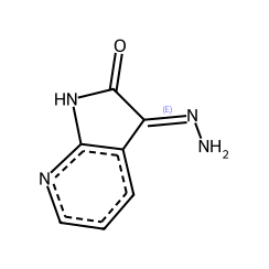 N/N=C1/C(=O)Nc2ncccc21